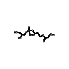 CCCCCCCCCCCC(=O)OCCCOP(=O)(OC)OCC(CO)N=O